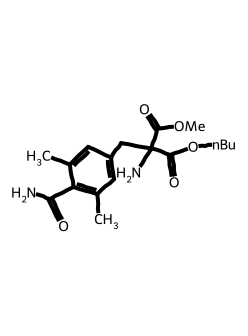 CCCCOC(=O)C(N)(Cc1cc(C)c(C(N)=O)c(C)c1)C(=O)OC